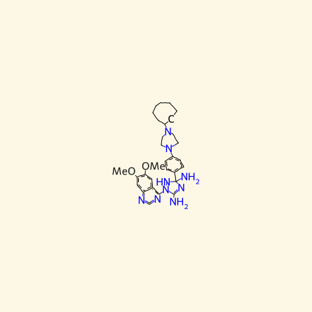 COc1cc2ncnc(N3NC(N)(c4ccc(N5CCN(C6CCCCCCC6)CC5)cc4)N=C3N)c2cc1OC